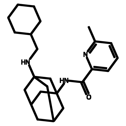 Cc1cccc(C(=O)NC23CC4CC(CC(NCC5CCCCC5)(C4)C2)C3)n1